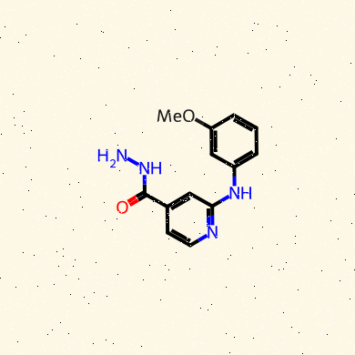 COc1cccc(Nc2cc(C(=O)NN)ccn2)c1